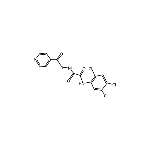 O=C(NNC(=O)c1ccncc1)C(=O)Nc1cc(Cl)c(Cl)cc1Cl